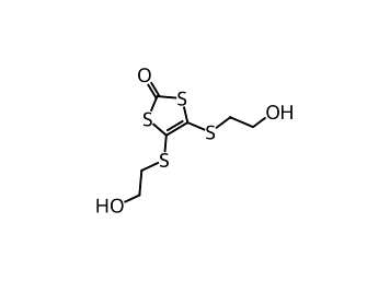 O=c1sc(SCCO)c(SCCO)s1